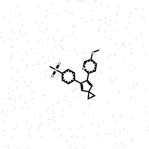 CSc1ccc(C2=CC3(C=C2c2ccc(S(C)(=O)=O)cc2)CC3)nc1